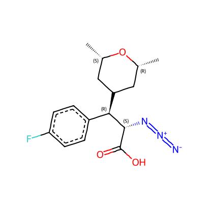 C[C@@H]1CC([C@H](c2ccc(F)cc2)[C@H](N=[N+]=[N-])C(=O)O)C[C@H](C)O1